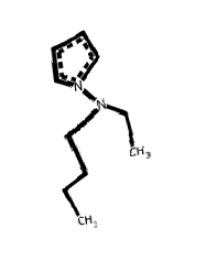 CCCCN(CC)n1cccc1